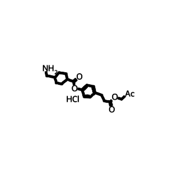 CC(=O)COC(=O)CCc1ccc(OC(=O)C2CCC(CN)CC2)cc1.Cl